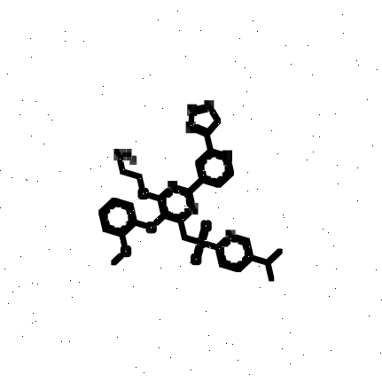 COc1ccccc1Oc1c(CS(=O)(=O)c2ccc(C(C)C)cn2)nc(-c2ccnc(C3=NN=NC3)c2)nc1OCCN